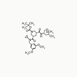 COc1cc(CN(C(=O)[C@@H]2C[C@H](C(=O)NC(CO)CC(C)C)CN(C(=O)OC(C)(C)C)C2)C2CC2)cc(OC)c1